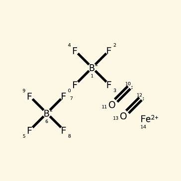 F[B-](F)(F)F.F[B-](F)(F)F.[C]=O.[C]=O.[Fe+2]